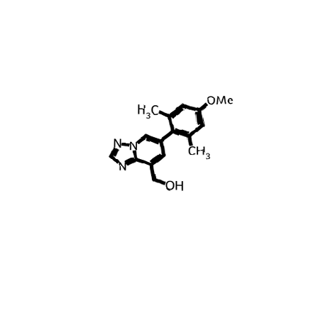 COc1cc(C)c(-c2cc(CO)c3ncnn3c2)c(C)c1